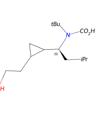 CC(C)C[C@@H](C1CC1CCO)N(C(=O)O)C(C)(C)C